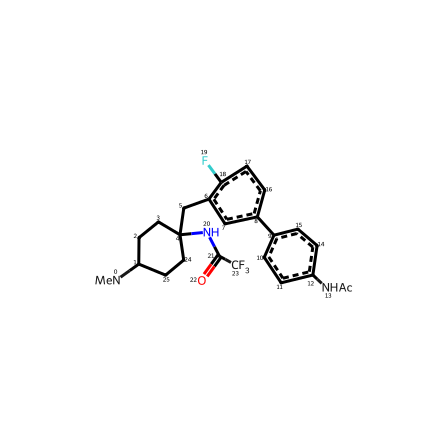 CNC1CCC(Cc2cc(-c3ccc(NC(C)=O)cc3)ccc2F)(NC(=O)C(F)(F)F)CC1